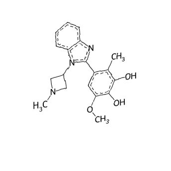 COc1cc(-c2nc3ccccc3n2C2CN(C)C2)c(C)c(O)c1O